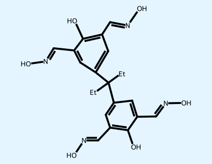 CCC(CC)(c1cc(C=NO)c(O)c(C=NO)c1)c1cc(C=NO)c(O)c(C=NO)c1